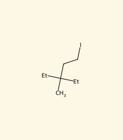 CCC(C)(CC)CCI